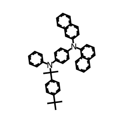 CC(C)(C)c1ccc(C(C)(C)N(c2ccccc2)c2ccc(N(c3ccc4ccccc4c3)c3cccc4ccccc34)cc2)cc1